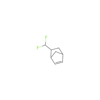 FC(F)C1CC2C=CC1C2